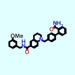 COC1=CC(CNC(=O)c2ccc3c(c2)CCCN3Cc2ccc(-c3ccccc3C(N)=O)cc2)=CCC1